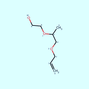 C=CCOCC(C)OCC[O]